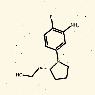 Nc1cc(N2CCC[C@@H]2CCO)ccc1F